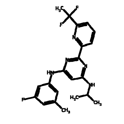 Cc1cc(F)cc(Nc2cc(NC(C)C)nc(-c3cccc(C(C)(F)F)n3)n2)c1